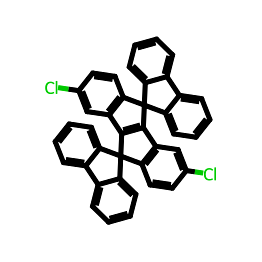 Clc1ccc2c(c1)C1=C(c3cc(Cl)ccc3C13c1ccccc1-c1ccccc13)C21c2ccccc2-c2ccccc21